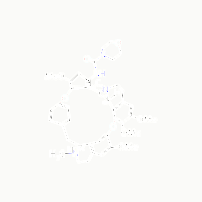 COc1cc(NC(=O)N2CCOCC2)c2cc1Oc1ccc(cc1)C[C@H]1c3cc(c(OC)cc3CCN1C)Oc1c(OC)c(OC)cc3c1[C@H](C2)N(C)CC3